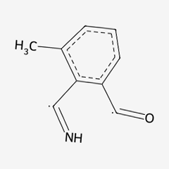 Cc1cccc([C]=O)c1[C]=N